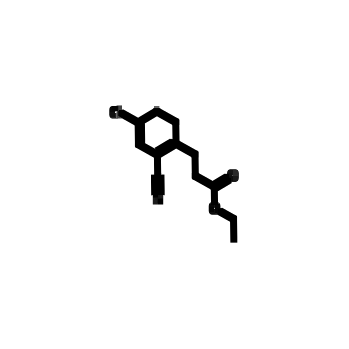 CCOC(=O)CCC1=C(C#N)C=C(Cl)[CH]C1